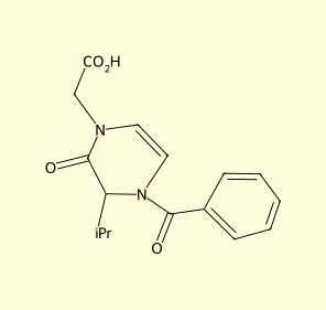 CC(C)C1C(=O)N(CC(=O)O)C=CN1C(=O)c1ccccc1